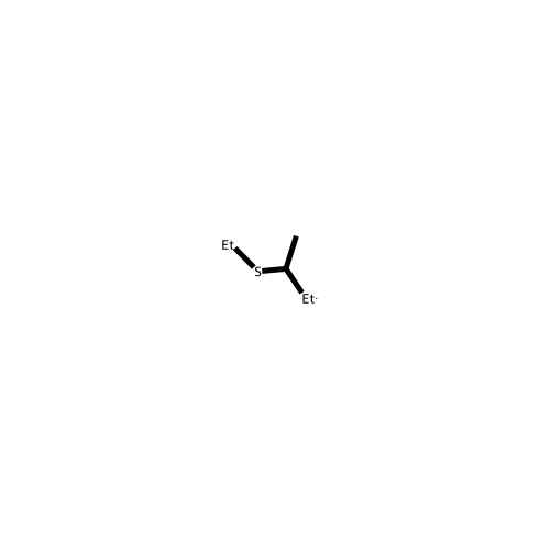 C[CH]C(C)SCC